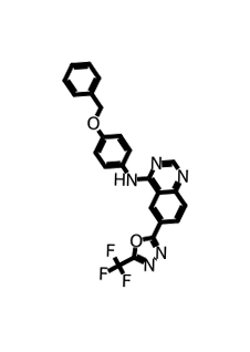 FC(F)(F)c1nnc(-c2ccc3ncnc(Nc4ccc(OCc5ccccc5)cc4)c3c2)o1